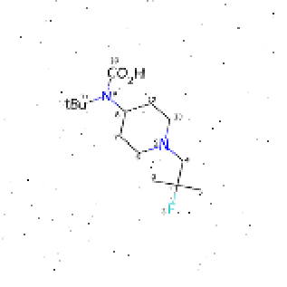 CC(C)(F)CN1CCC(N(C(=O)O)C(C)(C)C)CC1